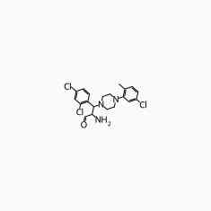 Cc1ccc(Cl)cc1N1CCN(C(c2ccc(Cl)cc2Cl)C(N)C=O)CC1